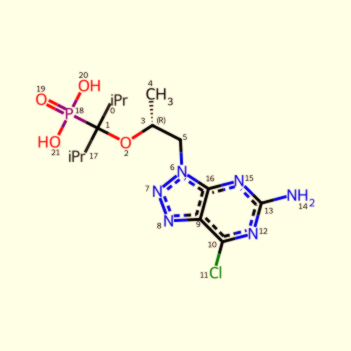 CC(C)C(O[C@H](C)Cn1nnc2c(Cl)nc(N)nc21)(C(C)C)P(=O)(O)O